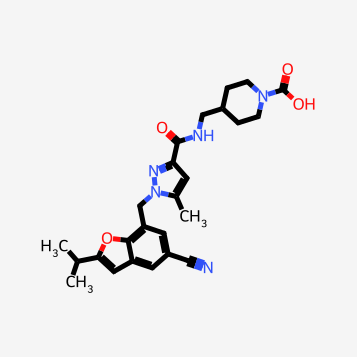 Cc1cc(C(=O)NCC2CCN(C(=O)O)CC2)nn1Cc1cc(C#N)cc2cc(C(C)C)oc12